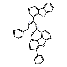 C=N/C(=N\C(=N/Cc1ccccc1)c1cccc2c1oc1ccccc12)c1cccc2oc3c(-c4ccccc4)cccc3c12